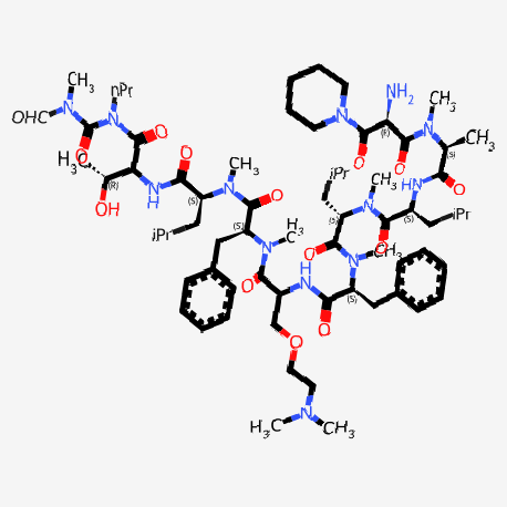 CCCN(C(=O)C(NC(=O)[C@H](CC(C)C)N(C)C(=O)[C@H](Cc1ccccc1)N(C)C(=O)C(COCCN(C)C)NC(=O)[C@H](Cc1ccccc1)N(C)C(=O)[C@H](CC(C)C)N(C)C(=O)[C@H](CC(C)C)NC(=O)[C@H](C)N(C)C(=O)[C@H](N)C(=O)N1CCCCC1)[C@@H](C)O)C(=O)N(C)C=O